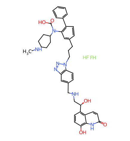 CNC1CCC(N(C(=O)O)c2cc(CCCn3nnc4cc(CNC[C@@H](O)c5ccc(O)c6[nH]c(=O)ccc56)ccc43)ccc2-c2ccccc2)CC1.F.F